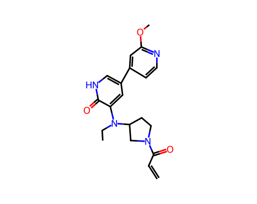 C=CC(=O)N1CCC(N(CC)c2cc(-c3ccnc(OC)c3)c[nH]c2=O)C1